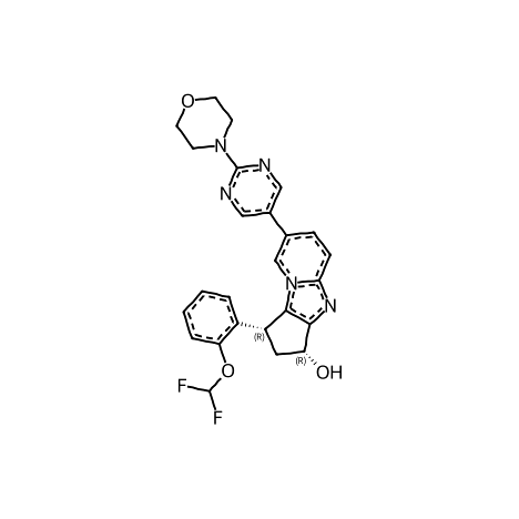 O[C@@H]1C[C@H](c2ccccc2OC(F)F)c2c1nc1ccc(-c3cnc(N4CCOCC4)nc3)cn21